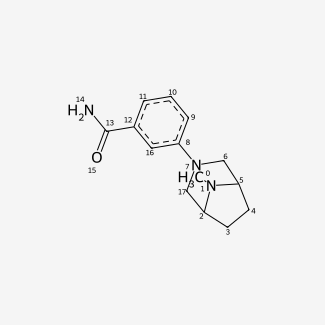 CN1C2CCC1CN(c1cccc(C(N)=O)c1)C2